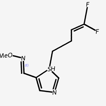 CO/N=C/C1=CN=C[SH]1CCC=C(F)F